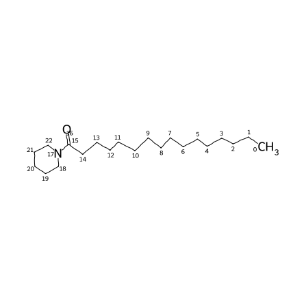 CCCCCCCCCCCCCCCC(=O)N1CCCCC1